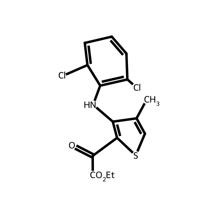 CCOC(=O)C(=O)c1scc(C)c1Nc1c(Cl)cccc1Cl